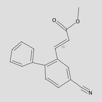 COC(=O)/C=C/c1cc(C#N)ccc1-c1ccccc1